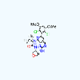 C=CC(=O)N[C@H]1COC[C@H]1Nc1ncc2cc(-c3c(Cl)c(OC)cc(OC)c3Cl)nc(NCC(C)(C)C)c2n1